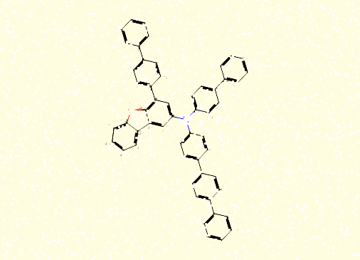 c1ccc(-c2ccc(-c3ccc(N(c4ccc(-c5ccccc5)cc4)c4cc(-c5ccc(-c6ccccc6)cc5)c5oc6ccccc6c5c4)cc3)cc2)cc1